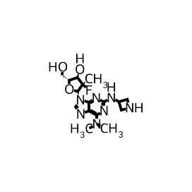 CN(C)c1nc(NC2CNC2)nc2c1ncn2[C@@H]1O[C@H](CO)[C@@H](O)[C@@]1(C)F